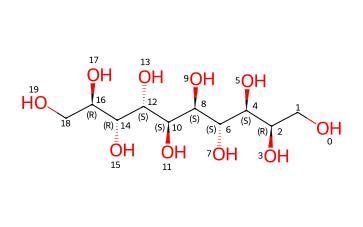 OC[C@@H](O)[C@H](O)[C@H](O)[C@H](O)[C@@H](O)[C@@H](O)[C@H](O)[C@H](O)CO